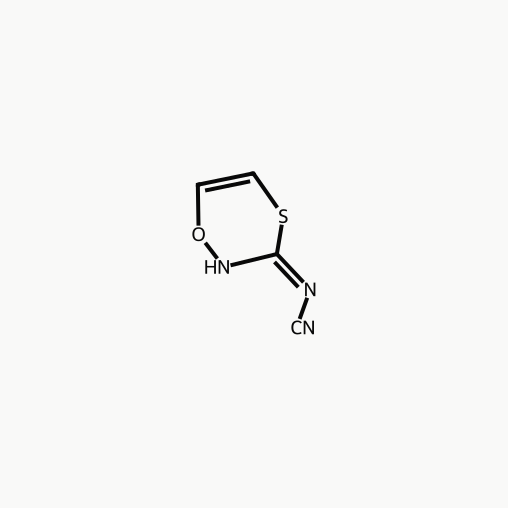 N#C/N=C1\NOC=CS1